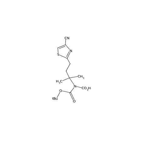 CC(C)(C)OC(=O)N(C(=O)O)C(C)(C)CCc1nc(C#N)cs1